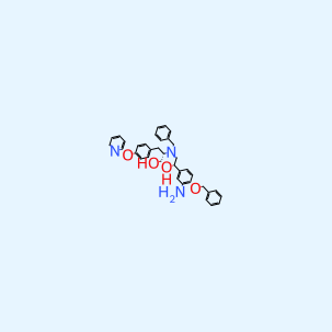 Nc1cc([C@H](O)CN(Cc2ccccc2)[C@H](CO)Cc2ccc(Oc3ccccn3)cc2)ccc1OCc1ccccc1